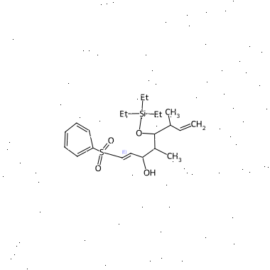 C=CC(C)C(O[Si](CC)(CC)CC)C(C)C(O)/C=C/S(=O)(=O)c1ccccc1